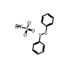 CCCS(=O)(=O)[O-].[Na+].c1ccc(SSc2ccccc2)cc1